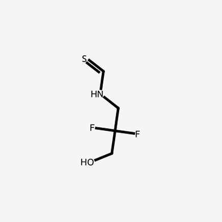 OCC(F)(F)CNC=S